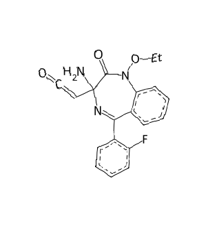 CCON1C(=O)C(N)(C=C=O)N=C(c2ccccc2F)c2ccccc21